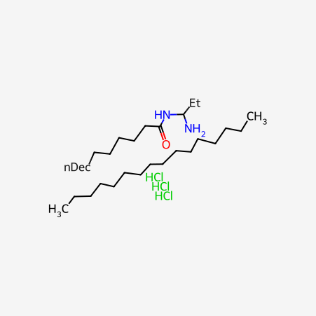 CCCCCCCCCCCCCCCC.CCCCCCCCCCCCCCCC(=O)NC(N)CC.Cl.Cl.Cl